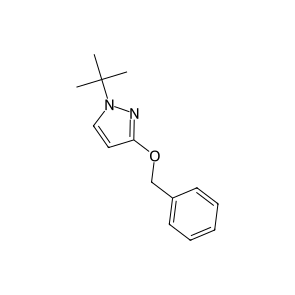 CC(C)(C)n1ccc(OCc2ccccc2)n1